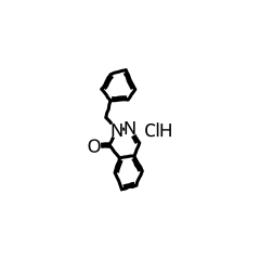 Cl.O=c1c2ccccc2cnn1Cc1ccccc1